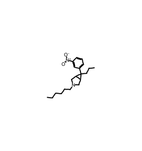 CCCCCCN1CC2C(C1)C2(CCC)c1cccc([N+](=O)[O-])c1